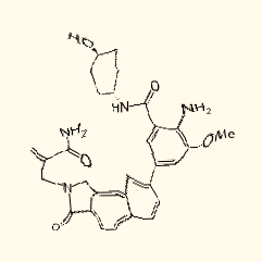 C=C(CN1Cc2c(ccc3ccc(-c4cc(OC)c(N)c(C(=O)N[C@H]5CC[C@H](O)CC5)c4)cc23)C1=O)C(N)=O